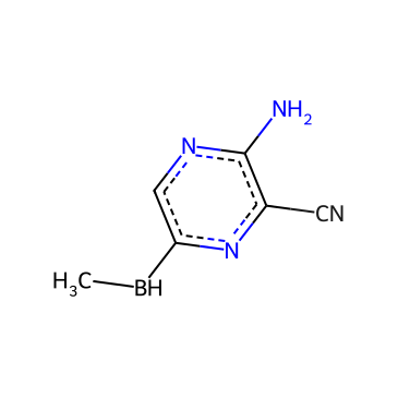 CBc1cnc(N)c(C#N)n1